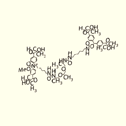 COC(=O)[N+](CCCCCCNC(=O)NC(C)COC(C)COCC(C)NC(=O)NCCCCCCNC(=O)OC(c1ccc(C(=O)C(C)(C)O)cc1)c1ccc(C(=O)C(C)(C)O)cc1)(c1ccc(C(=O)C(C)(C)O)cc1)c1ccc(C(=O)C(C)(C)O)cc1